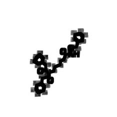 O=C(CCCCCN(C(=O)Cc1ccccc1)C(=O)Cc1ccccc1)NOCc1ccccc1